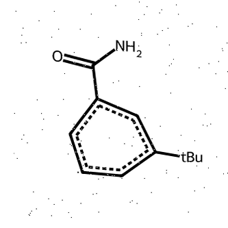 CC(C)(C)c1c[c]cc(C(N)=O)c1